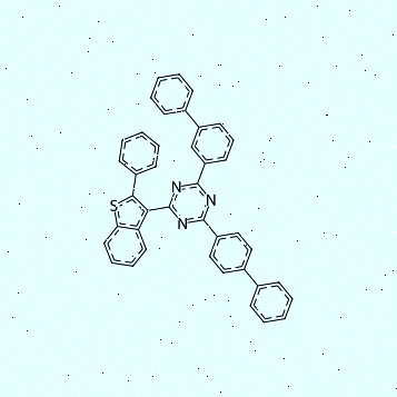 c1ccc(-c2ccc(-c3nc(-c4cccc(-c5ccccc5)c4)nc(-c4c(-c5ccccc5)sc5ccccc45)n3)cc2)cc1